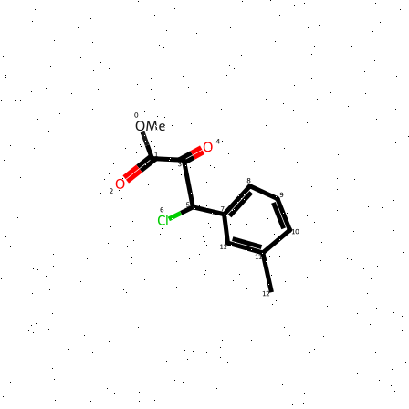 COC(=O)C(=O)C(Cl)c1cccc(C)c1